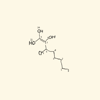 CCCCCC(Cl)C(O)=C(O)O